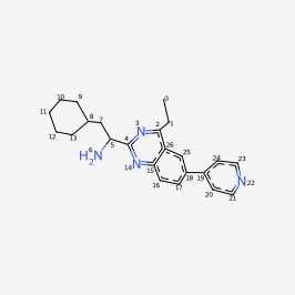 CCc1nc(C(N)CC2CCCCC2)nc2ccc(-c3ccncc3)cc12